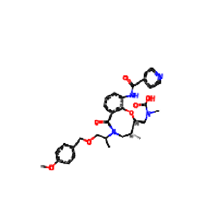 COc1ccc(COCC(C)N2C[C@@H](C)[C@H](CN(C)C(=O)O)Oc3c(NC(=O)c4ccncc4)cccc3C2=O)cc1